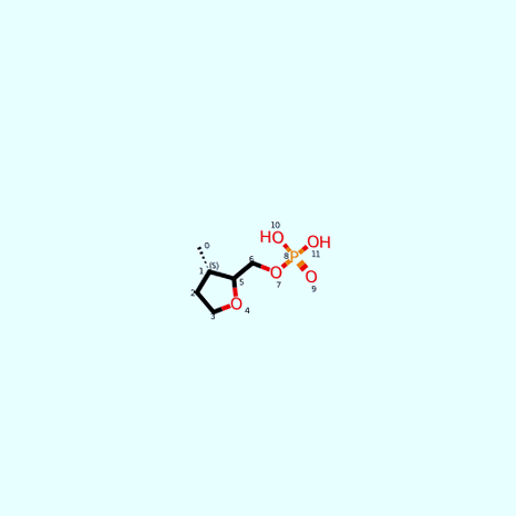 C[C@H]1CCOC1COP(=O)(O)O